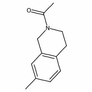 CC(=O)N1CCc2ccc(C)cc2C1